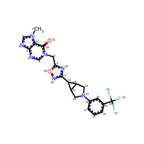 Cn1cnc2ncn(Cc3nc(C4C5CN(c6cccc(C(F)(F)F)c6)CC54)no3)c(=O)c21